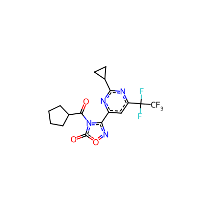 O=C(C1CCCC1)n1c(-c2cc(C(F)(F)C(F)(F)F)nc(C3CC3)n2)noc1=O